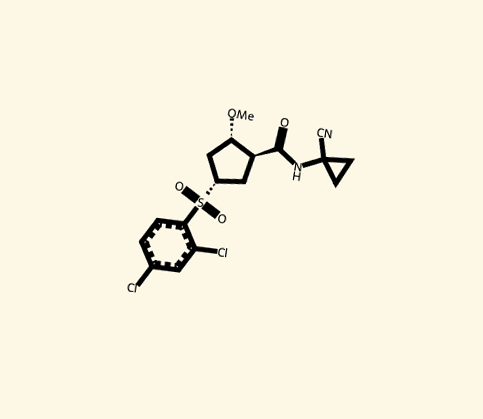 CO[C@H]1C[C@@H](S(=O)(=O)c2ccc(Cl)cc2Cl)C[C@@H]1C(=O)NC1(C#N)CC1